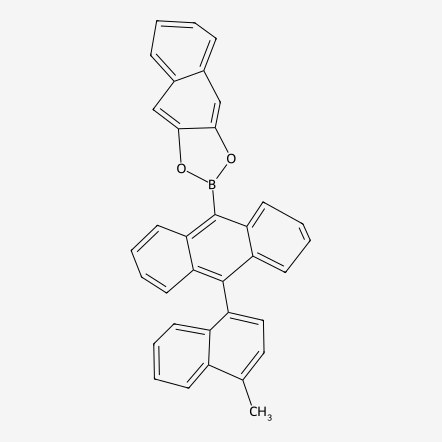 Cc1ccc(-c2c3ccccc3c(B3Oc4cc5ccccc5cc4O3)c3ccccc23)c2ccccc12